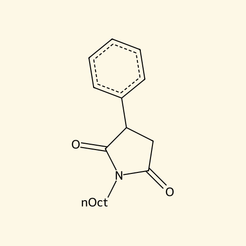 CCCCCCCCN1C(=O)CC(c2ccccc2)C1=O